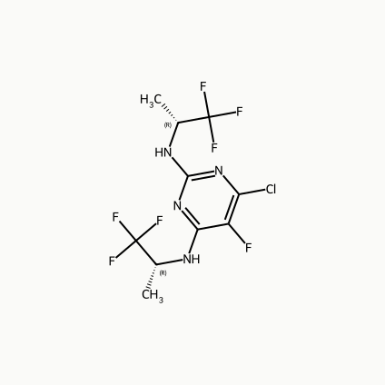 C[C@@H](Nc1nc(Cl)c(F)c(N[C@H](C)C(F)(F)F)n1)C(F)(F)F